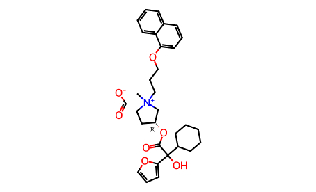 C[N+]1(CCCOc2cccc3ccccc23)CC[C@@H](OC(=O)C(O)(c2ccco2)C2CCCCC2)C1.O=C[O-]